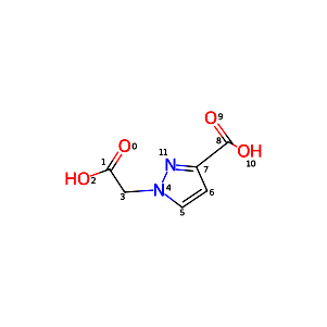 O=C(O)Cn1ccc(C(=O)O)n1